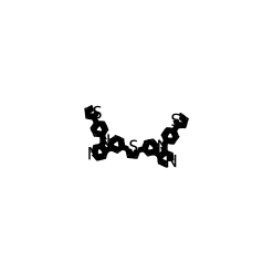 c1csc(-c2ccc(-n3c4ccc(-c5ccc(-c6ccc7c(c6)c6ccncc6n7-c6ccc(-c7cccs7)cc6)s5)cc4c4ccncc43)cc2)c1